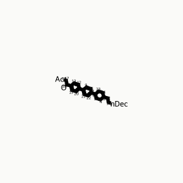 CCCCCCCCCCCCC1CCC(c2ccc(-c3ccc(C(=O)CC(C)=O)cc3)cc2)CC1